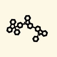 c1ccc(-n2c3ccccc3c3ccc(-c4ccc5c(c4)c4ccccc4n5-c4ccc(C5(c6ccccc6)c6ccccc6-c6ccccc65)cc4)cc32)cc1